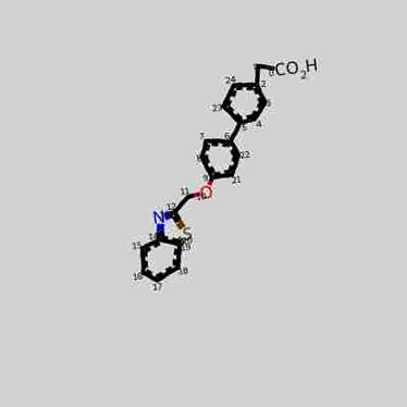 O=C(O)Cc1ccc(-c2ccc(OCc3nc4ccccc4s3)cc2)cc1